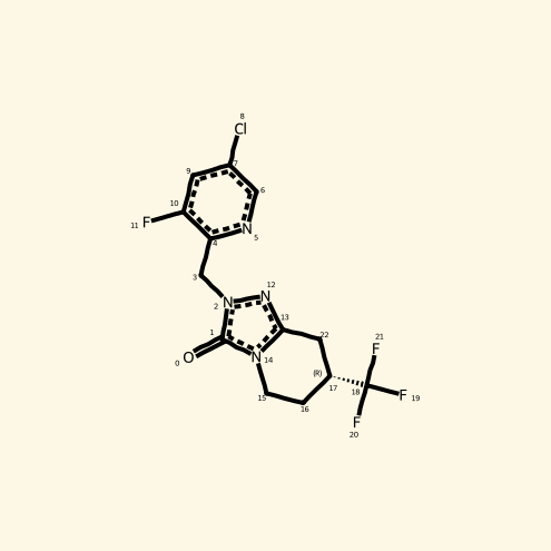 O=c1n(Cc2ncc(Cl)cc2F)nc2n1CC[C@@H](C(F)(F)F)C2